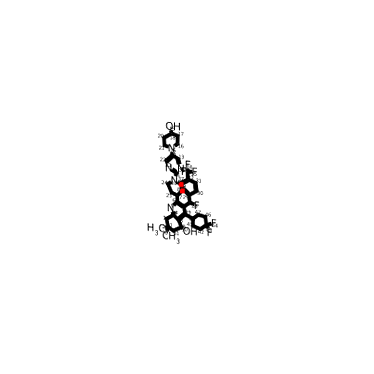 CC1(C)Cc2nc(C3CCN(c4ncc(N5CCC(O)CC5)cn4)CC3)c(C(F)c3ccc(C(F)(F)F)cc3)c(C3CCC(F)(F)CC3)c2C(O)C1